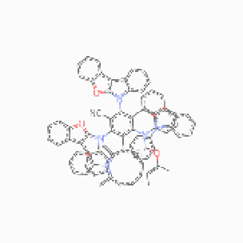 C=c1cccccc(-c2c(N(c3ccccc3C)[C@@H](CC)O/C(C)=C/C)c(-c3cccc4c5ccccc5n(-c5ccccc5)c34)c(-n3c4ccccc4c4c5ccccc5oc43)c(C#N)c2-n2c3ccccc3c3c4ccccc4oc32)c(=C)n1-c1ccccc1